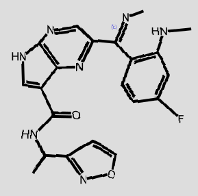 C/N=C(/c1cnc2[nH]cc(C(=O)NC(C)c3ccon3)c2n1)c1ccc(F)cc1NC